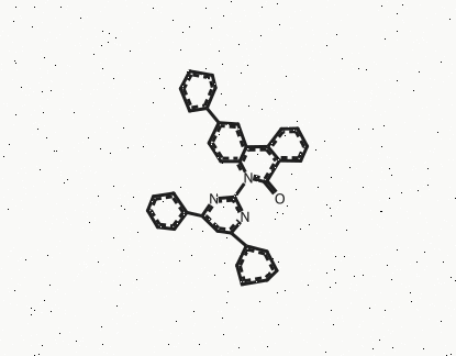 O=c1c2ccccc2c2cc(-c3ccccc3)ccc2n1-c1nc(-c2ccccc2)cc(-c2ccccc2)n1